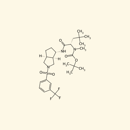 CN(C(=O)OC(C)(C)C)[C@@H](CC(C)(C)C)C(=O)N[C@H]1CC[C@@H]2CN(S(=O)(=O)c3cccc(C(F)(F)F)c3)C[C@@H]21